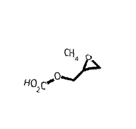 C.O=C(O)OCC1CO1